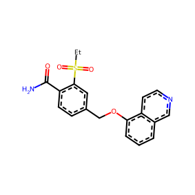 CCS(=O)(=O)c1cc(COc2cccc3cnccc23)ccc1C(N)=O